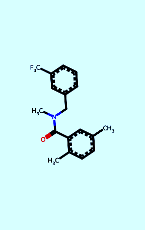 Cc1ccc(C)c(C(=O)N(C)Cc2cccc(C(F)(F)F)c2)c1